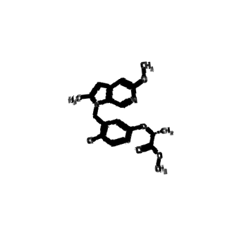 COC(=O)[C@@H](C)Oc1ccc(Cl)c(Cn2c(C)cc3cc(OC)ncc32)c1